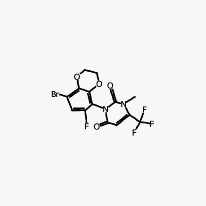 Cn1c(C(F)(F)F)cc(=O)n(-c2c(F)cc(Br)c3c2OCCO3)c1=O